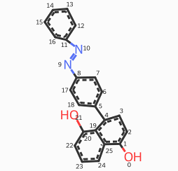 Oc1ccc(-c2ccc(/N=N/c3ccccc3)cc2)c2c(O)cccc12